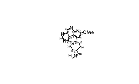 COc1ccc2c(ncc3ncnc(N4CCCC(CN)CC4)c32)n1